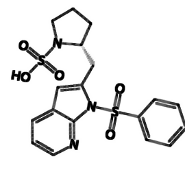 O=S(=O)(O)N1CCC[C@@H]1Cc1cc2cccnc2n1S(=O)(=O)c1ccccc1